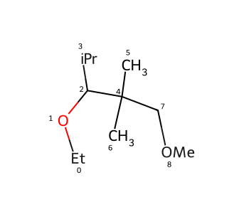 CCOC(C(C)C)C(C)(C)COC